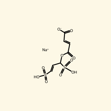 O=C([O-])C=CC(=O)OC(C=CS(=O)(=O)O)S(=O)(=O)O.[Na+]